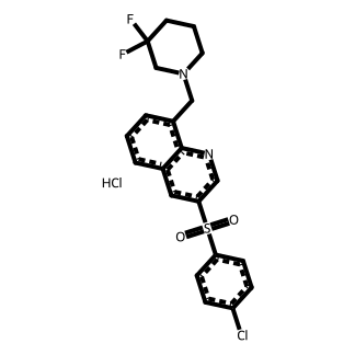 Cl.O=S(=O)(c1ccc(Cl)cc1)c1cnc2c(CN3CCCC(F)(F)C3)cccc2c1